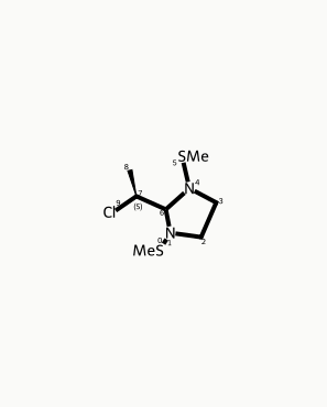 CSN1CCN(SC)C1[C@H](C)Cl